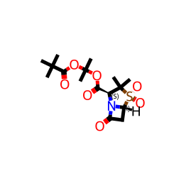 CC(C)(OC(=O)[C@@H]1N2C(=O)C[C@H]2S(=O)(=O)C1(C)C)OC(=O)C(C)(C)C